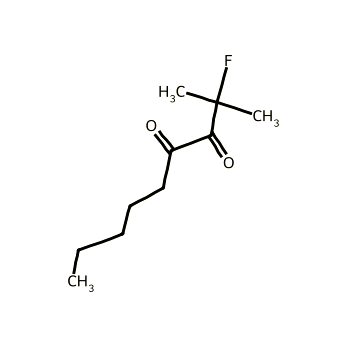 CCCCCC(=O)C(=O)C(C)(C)F